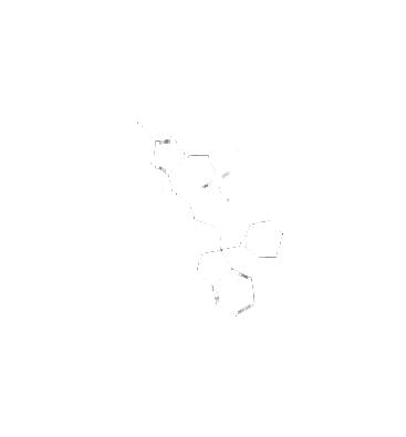 CC(n1nc(N)nc1NCCOC1(N2CCCCC2)CCc2ccccc21)S(=O)(=O)O